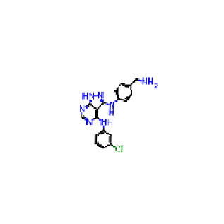 NCc1ccc(Nc2n[nH]c3ncnc(Nc4cccc(Cl)c4)c23)cc1